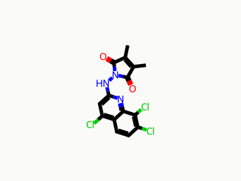 CC1=C(C)C(=O)N(Nc2cc(Cl)c3ccc(Cl)c(Cl)c3n2)C1=O